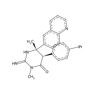 CC(C)c1ccc([C@H]2C(=O)N(C)C(=N)N[C@]2(C)c2ccc3ncccc3c2)cc1